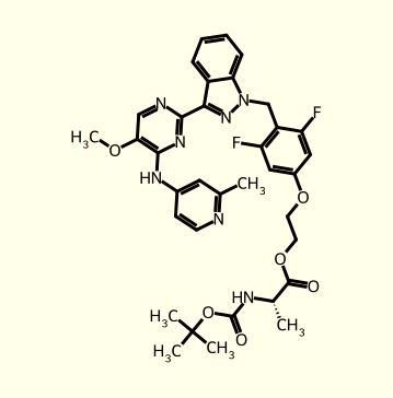 COc1cnc(-c2nn(Cc3c(F)cc(OCCOC(=O)[C@H](C)NC(=O)OC(C)(C)C)cc3F)c3ccccc23)nc1Nc1ccnc(C)c1